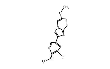 COc1ccc2nc(-c3cnc(OC)c(Cl)c3)cn2c1